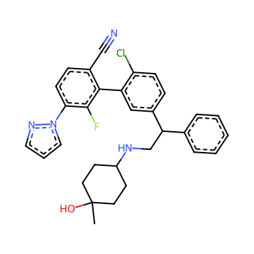 CC1(O)CCC(NCC(c2ccccc2)c2ccc(Cl)c(-c3c(C#N)ccc(-n4cccn4)c3F)c2)CC1